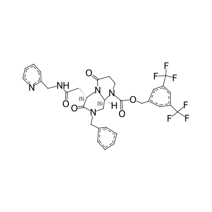 O=C(C[C@H]1C(=O)N(Cc2ccccc2)C[C@@H]2N(C(=O)OCc3cc(C(F)(F)F)cc(C(F)(F)F)c3)CCC(=O)N21)NCc1ccccn1